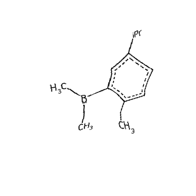 CB(C)c1cc(C(C)C)ccc1C